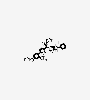 CCCOC(=O)C(c1ccc(-c2ccc(OCCC)cc2C(F)(F)F)nn1)n1cnc2nc(-c3ccccc3F)nc-2c1